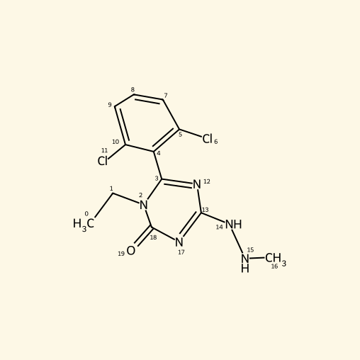 CCn1c(-c2c(Cl)cccc2Cl)nc(NNC)nc1=O